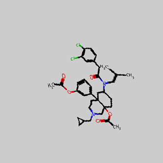 CC(=O)Oc1cccc(C23CCN(CC4CC4)CC2(OC(C)=O)CCC(N(CC(C)C)C(=O)Cc2ccc(Cl)c(Cl)c2)C3)c1